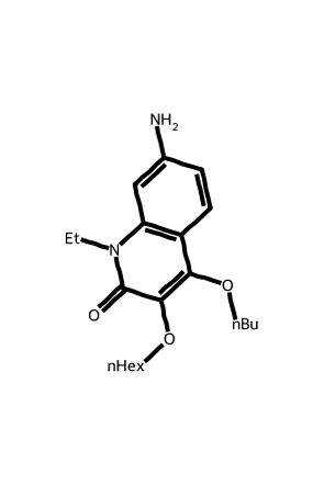 CCCCCCOc1c(OCCCC)c2ccc(N)cc2n(CC)c1=O